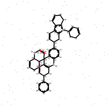 C1=CCCC(n2c3c(c4c2CC(c2ccc5c(c2)C2(C6=CCCCC6SC6C=CCCC62)C2=C(CC(c6ccccc6)C=C2)S5)C=C4)C=CCC3)=C1